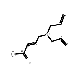 C=CCN(CC=C)C/C=C/C(N)=O